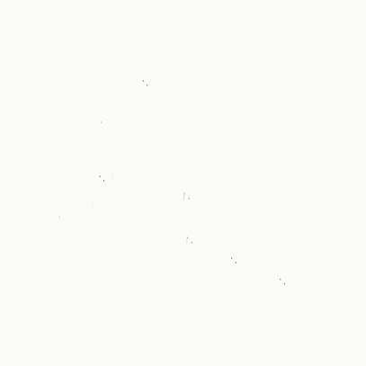 Cc1ccc(C(=O)NCC(C)(C)CN(C)C)cc1Nc1ncccc1-c1ccncn1